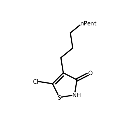 CCCCCCCCc1c(Cl)s[nH]c1=O